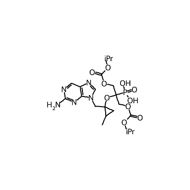 CC(C)OC(=O)OCC(COC(=O)OC(C)C)(OC1(Cn2cnc3cnc(N)nc32)CC1C)P(=O)(O)O